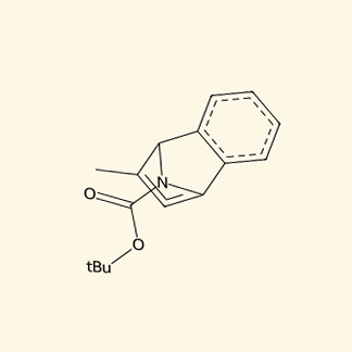 CC1=C=C2c3ccccc3C1N2C(=O)OC(C)(C)C